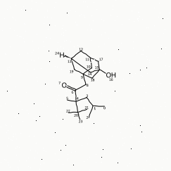 CC(C)CC(C)(C(=O)CC12CC3C[C@H](CC(O)(C3)C1)C2)C(C)(C)C